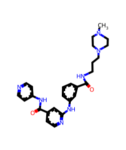 CN1CCN(CCCNC(=O)c2cccc(Nc3cc(C(=O)Nc4ccncc4)ccn3)c2)CC1